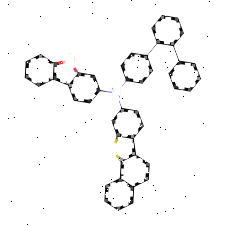 c1ccc(-c2ccccc2-c2ccc(N(c3ccc4c(c3)oc3ccccc34)c3ccc4c(c3)sc3c5ccccc5ccc43)cc2)cc1